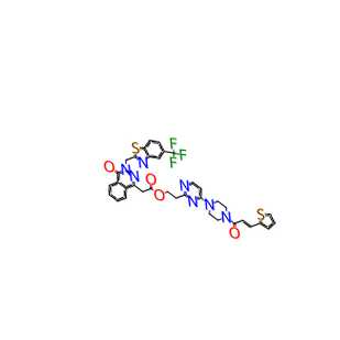 O=C(Cc1nn(Cc2nc3cc(C(F)(F)F)ccc3s2)c(=O)c2ccccc12)OCCc1nccc(N2CCN(C(=O)C=Cc3cccs3)CC2)n1